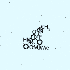 COc1ccc(F)c(-c2c3c(=O)n(-c4ccccc4OC)[nH]c3cc(=O)n2Cc2ccn(C)n2)c1